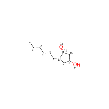 CCCCCCC1CC(O)CC1=O